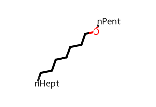 [CH2]CCCCCCCCCCCCCOCCCCC